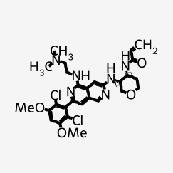 C=CC(=O)N[C@H]1CCOC[C@H]1Nc1cc2c(NCCN(C)C)nc(-c3c(Cl)c(OC)cc(OC)c3Cl)cc2cn1